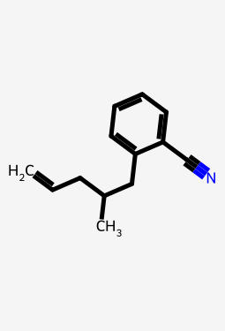 C=CCC(C)Cc1ccccc1C#N